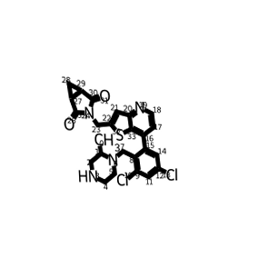 CC1CNCCN1Cc1c(Cl)cc(Cl)cc1-c1ccnc2cc(CN3C(=O)C4CC4C3=O)sc12